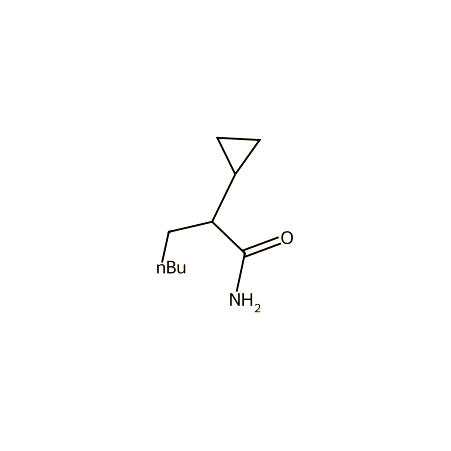 CCCCCC(C(N)=O)C1CC1